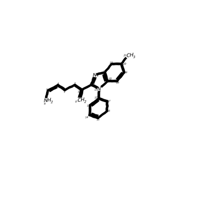 C=C(CC/C=C\N)c1nc2c(n1C1=CC=CCC1)C=CC(C)C2